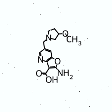 COC1CCN(Cc2cnc3c(C(=O)O)c(N)oc3c2)C1